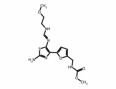 COCCNC=Nc1sc(N)nc1-c1ccc(CNC(=O)OC)o1